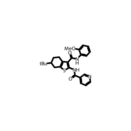 COc1ccccc1NC(=O)c1c(NC(=O)c2cccnc2)sc2c1CCC(C(C)(C)C)C2